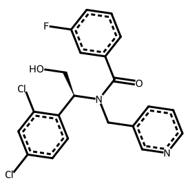 O=C(c1cccc(F)c1)N(Cc1cccnc1)[C@H](CO)c1ccc(Cl)cc1Cl